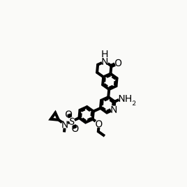 CCOc1cc(S(=O)(=O)N(C)C2CC2)ccc1-c1cnc(N)c(-c2ccc3c(c2)CCNC3=O)c1